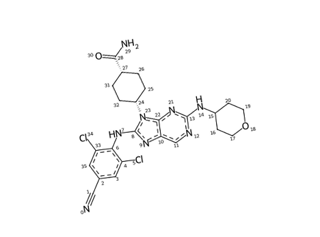 N#Cc1cc(Cl)c(Nc2nc3cnc(NC4CCOCC4)nc3n2[C@H]2CC[C@@H](C(N)=O)CC2)c(Cl)c1